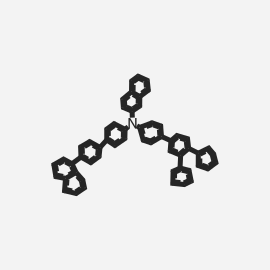 c1ccc(-c2ccc(-c3ccc(N(c4ccc(-c5ccc(-c6cccc7ccccc67)cc5)cc4)c4ccc5ccccc5c4)cc3)cc2-c2ccccc2)cc1